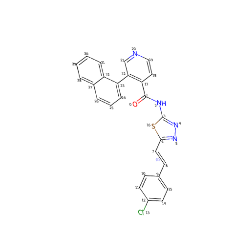 O=C(Nc1nnc(/C=C/c2ccc(Cl)cc2)s1)c1ccncc1-c1cccc2ccccc12